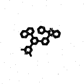 Cc1cc(-c2cc(-c3cccc(-c4c(-c5ccccc5)nc5ccccn45)c3)cc(-c3cccc4ccccc34)c2)cc(C)n1